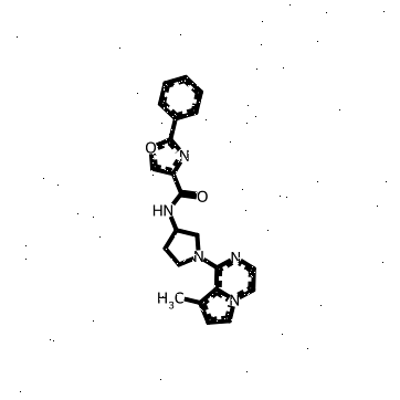 Cc1ccn2ccnc(N3CCC(NC(=O)c4coc(-c5ccccc5)n4)C3)c12